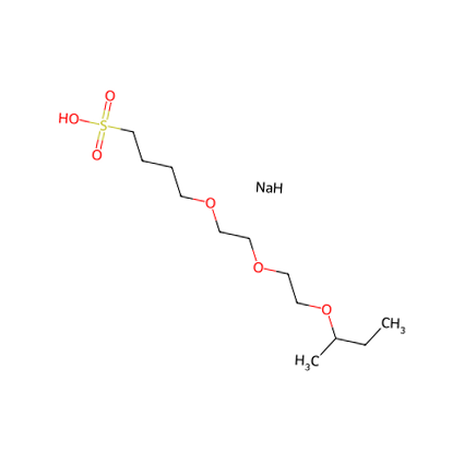 CCC(C)OCCOCCOCCCCS(=O)(=O)O.[NaH]